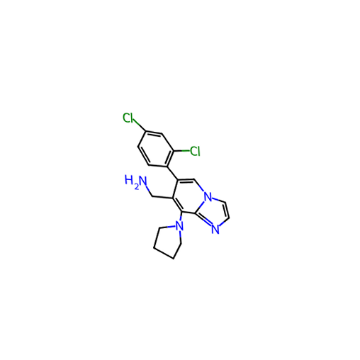 NCc1c(-c2ccc(Cl)cc2Cl)cn2ccnc2c1N1CCCC1